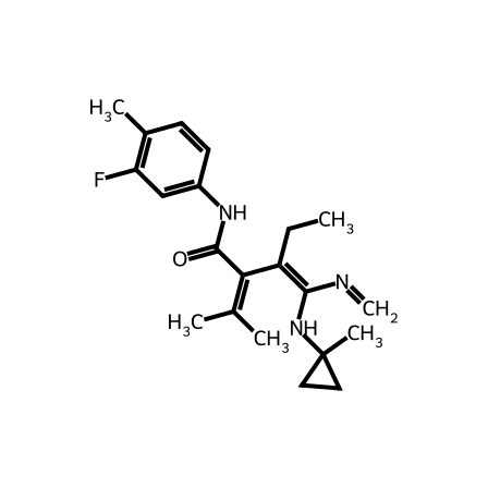 C=N/C(NC1(C)CC1)=C(\CC)C(C(=O)Nc1ccc(C)c(F)c1)=C(C)C